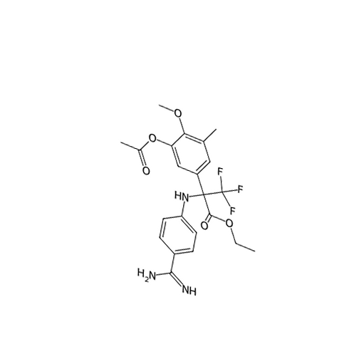 CCOC(=O)C(Nc1ccc(C(=N)N)cc1)(c1cc(C)c(OC)c(OC(C)=O)c1)C(F)(F)F